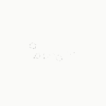 CN1C(=O)[C@@H](NC(=O)c2n[nH]c(Cc3ccccc3)n2)COc2ccc(CCC(C)(C)O)cc21